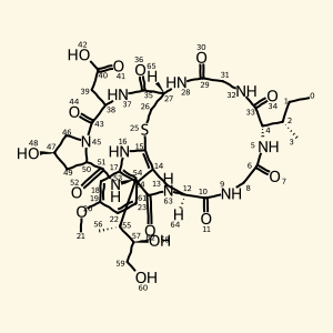 CC[C@H](C)[C@@H]1NC(=O)CNC(=O)[C@@H]2Cc3c([nH]c4cc(OC)ccc34)SC[C@@H](NC(=O)CNC1=O)C(=O)NC(CC(=O)O)C(=O)N1C[C@H](O)CC1C(=O)N[C@H]([C@@H](C)[C@@H](O)CO)C(=O)N2